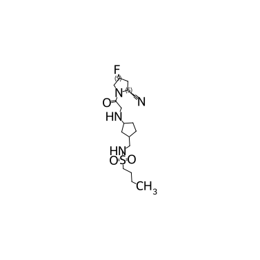 CCCCS(=O)(=O)NCC1CCC(NCC(=O)N2C[C@@H](F)C[C@H]2C#N)C1